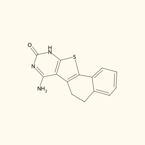 Nc1nc(=O)[nH]c2sc3c(c12)CCc1ccccc1-3